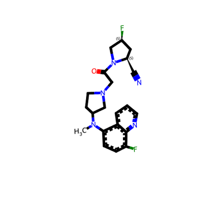 CN(c1ccc(F)c2ncccc12)C1CCN(CC(=O)N2C[C@@H](F)C[C@H]2C#N)C1